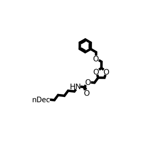 CCCCCCCCCCCCCCCNC(=O)OCC1COC(COCc2ccccc2)O1